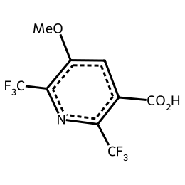 COc1cc(C(=O)O)c(C(F)(F)F)nc1C(F)(F)F